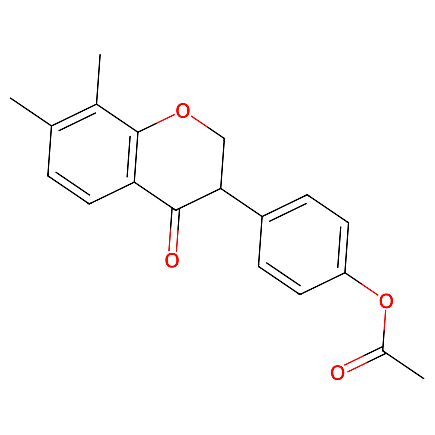 CC(=O)Oc1ccc(C2COc3c(ccc(C)c3C)C2=O)cc1